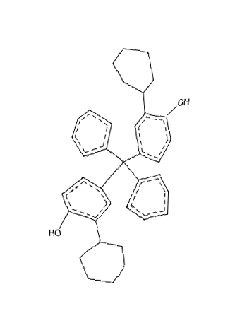 Oc1ccc(C(c2ccccc2)(c2ccccc2)c2ccc(O)c(C3CCCCC3)c2)cc1C1CCCCC1